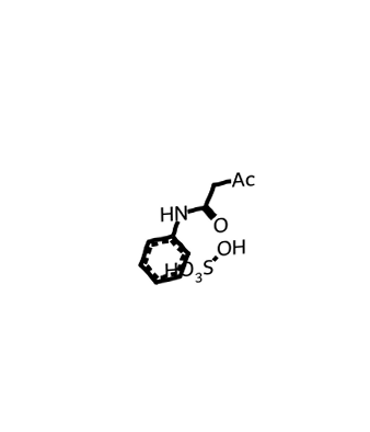 CC(=O)CC(=O)Nc1ccccc1.O=S(=O)(O)O